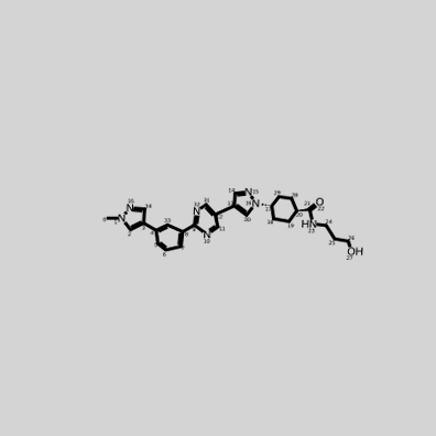 Cn1cc(-c2cccc(-c3ncc(-c4cnn([C@H]5CC[C@H](C(=O)NCCCO)CC5)c4)cn3)c2)cn1